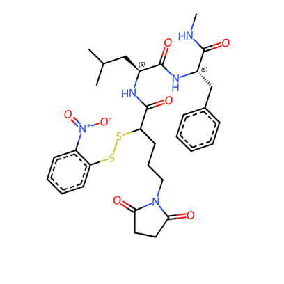 CNC(=O)[C@H](Cc1ccccc1)NC(=O)[C@H](CC(C)C)NC(=O)C(CCCN1C(=O)CCC1=O)SSc1ccccc1[N+](=O)[O-]